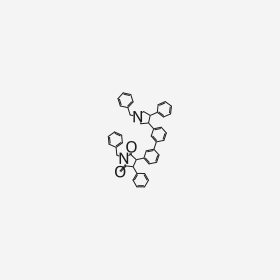 O=C1C(c2ccccc2)C(c2cccc(-c3cccc(C4CN(Cc5ccccc5)CC4c4ccccc4)c3)c2)C(=O)N1Cc1ccccc1